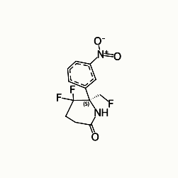 O=C1CCC(F)(F)[C@@](CF)(c2cccc([N+](=O)[O-])c2)N1